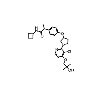 CC(C(=O)NC1CCC1)c1ccc(OC2CCN(c3ncnc(OCC(C)(C)O)c3Cl)C2)cc1